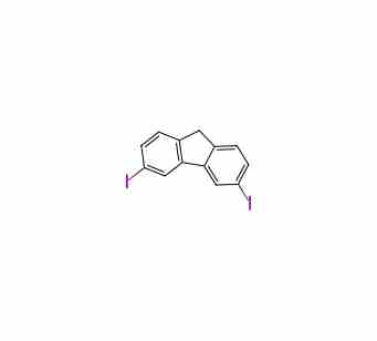 Ic1ccc2c(c1)-c1cc(I)ccc1C2